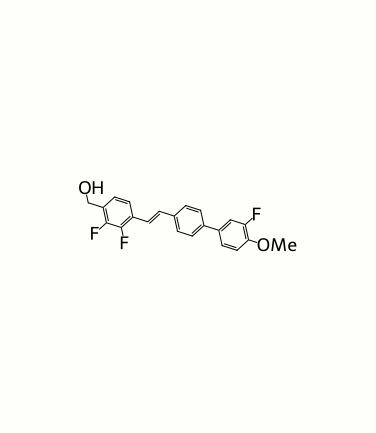 COc1ccc(-c2ccc(/C=C/c3ccc(CO)c(F)c3F)cc2)cc1F